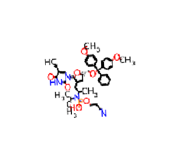 C#Cc1cn([C@@H]2O[C@H](COC(c3ccccc3)(c3ccc(OC)cc3)c3ccc(OC)cc3)CC2CC(C)N(C(C)C)P(O)OCCC#N)c(=O)[nH]c1=O